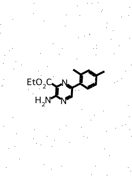 CCOC(=O)c1nc(-c2ccc(C)cc2C)cnc1N